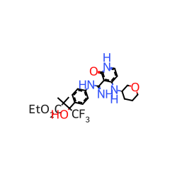 CCOC(=O)C(C)(C)C(O)(c1ccc(NC(=N)c2c(N[C@@H]3CCCOC3)cc[nH]c2=O)cc1)C(F)(F)F